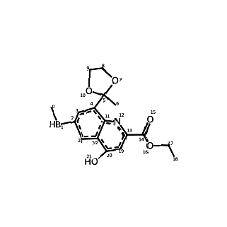 CBc1cc(C2(C)OCCO2)c2nc(C(=O)OCC)cc(O)c2c1